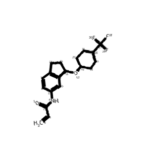 C=CC(=O)Nc1ccc2c(c1)C(OC1CCC(C(F)(F)F)CC1)CC2